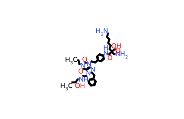 CCCn1c(=O)c2c(nc(Cc3ccccc3)n2CCNCC(O)CC)n(CCc2ccc(NC(=O)C(CN)(CCCCCCN)C(=O)O)cc2)c1=O